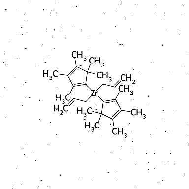 C=C[CH2][Zr]([CH2]C=C)([C]1=C(C)C(C)=C(C)C1(C)C)[C]1=C(C)C(C)=C(C)C1(C)C